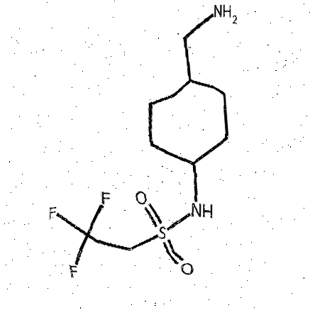 NCC1CCC(NS(=O)(=O)CC(F)(F)F)CC1